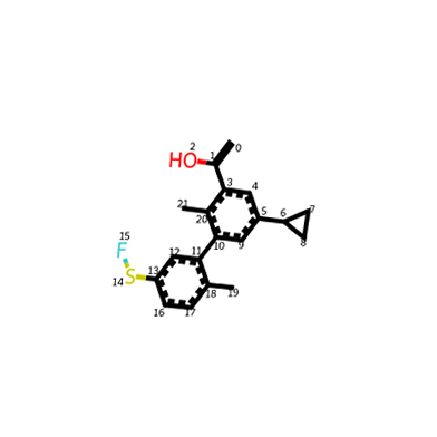 C=C(O)c1cc(C2CC2)cc(-c2cc(SF)ccc2C)c1C